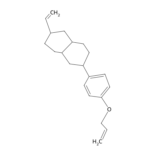 C=CCOc1ccc(C2CCC3CC(C=C)CCC3C2)cc1